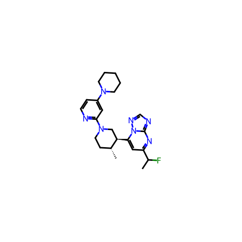 CC(F)c1cc([C@@H]2CN(c3cc(N4CCCCC4)ccn3)CC[C@H]2C)n2ncnc2n1